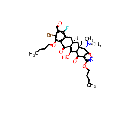 CCCCOc1noc2c1C(=O)C1C(O)=C3C(=O)c4c(c(F)c(C=O)c(Br)c4OCCCC)C[C@H]3C[C@H]1[C@@H]2N(C)C